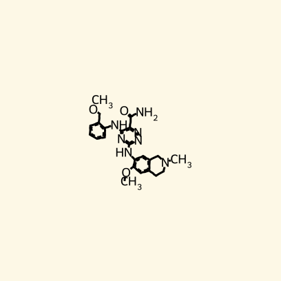 COCc1ccccc1Nc1nc(Nc2cc3c(cc2OC)CCN(C)C3)nnc1C(N)=O